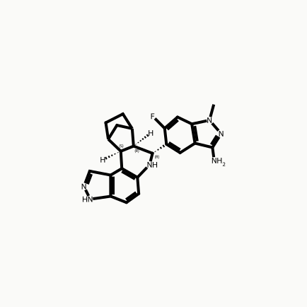 Cn1nc(N)c2cc([C@@H]3Nc4ccc5[nH]ncc5c4[C@H]4C5CCC(C5)[C@@H]34)c(F)cc21